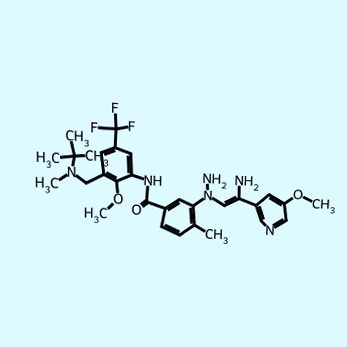 COc1cncc(/C(N)=C/N(N)c2cc(C(=O)Nc3cc(C(F)(F)F)cc(CN(C)C(C)(C)C)c3OC)ccc2C)c1